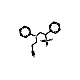 N#CCCN(CC(c1ccccc1)S(=O)(=O)F)c1ccccc1